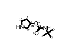 CC(C)(C)NC(=O)O[C@@H]1CCNC1